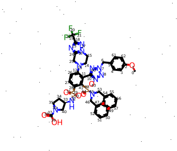 COc1ccc(Cn2nnc(-c3c(N4CCn5nc(C(F)(F)F)nc5C4)ccc(S(=O)(=O)N[C@@H]4CCN(C(=O)O)C4)c3S(=O)(=O)N(Cc3ccccc3)Cc3ccccc3)n2)cc1